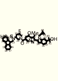 COc1cc(C(=O)N2C[C@H](F)C[C@@H](N(CC3c4ccccc4-c4ccccc43)C(=O)O)C2)cn2nc(-c3cc4ccc(C(C)(C)O)cc4n3CC3CC3)c(C)c12